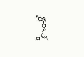 NC(CCCOc1ccc(-c2noc3cc(F)ccc23)cc1)c1ccsc1